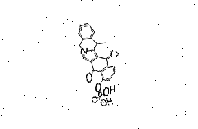 CC1c2ccccc2Cn2cc3c(c21)C(=O)c1cccc(OP(=O)(O)O)c1C3=O